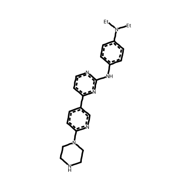 CCN(CC)c1ccc(Nc2nccc(-c3ccc(N4CCNCC4)nc3)n2)cc1